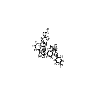 CCOC(=O)Cn1ncc2c1CCCC2N(C)S(=O)(=O)c1ccc(Oc2ccc(F)cc2)c(C(F)(F)F)c1